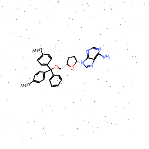 COc1ccc(C(OC[C@@H]2CC[C@H](n3cnc4c(N)ncnc43)O2)(c2ccccc2)c2ccc(OC)cc2)cc1